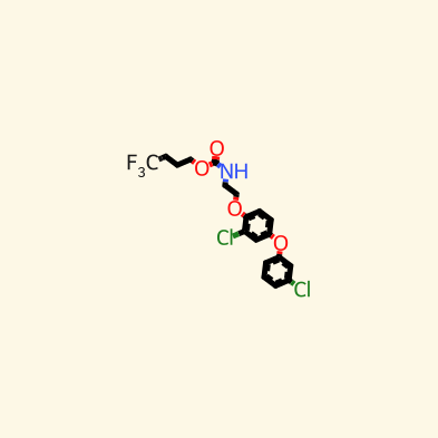 O=C(NCCOc1ccc(Oc2cccc(Cl)c2)cc1Cl)OCCCC(F)(F)F